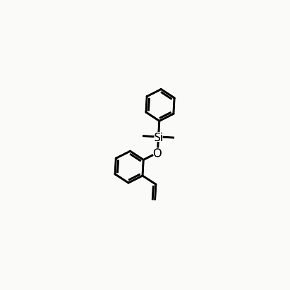 C=Cc1ccccc1O[Si](C)(C)c1ccccc1